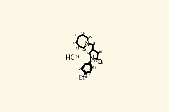 CCc1ccc(N2CC(CN3CCCCCC3)CC2=O)cc1.Cl